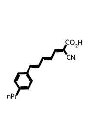 CCCc1ccc(/C=C/C=C/C=C(\C#N)C(=O)O)cc1